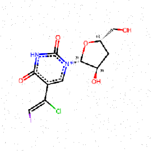 O=c1[nH]c(=O)n([C@@H]2O[C@H](CO)C[C@H]2O)cc1C(Cl)=CI